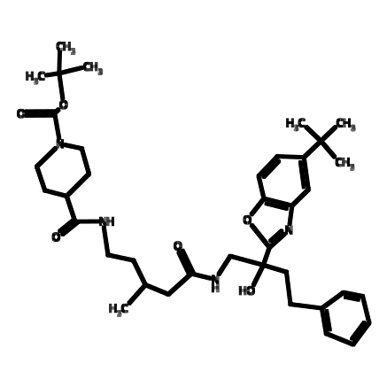 CC(CCNC(=O)C1CCN(C(=O)OC(C)(C)C)CC1)CC(=O)NCC(O)(CCc1ccccc1)c1nc2cc(C(C)(C)C)ccc2o1